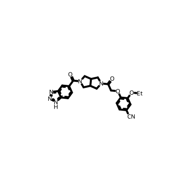 CCOc1cc(C#N)ccc1OCC(=O)N1CC2CN(C(=O)c3ccc4[nH]nnc4c3)CC2C1